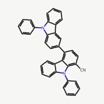 N#Cc1ccc(-c2ccc3c(c2)c2ccccc2n3-c2ccccc2)c2c3ccccc3n(-c3ccccc3)c12